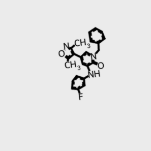 Cc1noc(C)c1-c1cc(Nc2cccc(F)c2)c(=O)n(Cc2ccccc2)c1